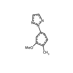 COc1cc(-n2nccn2)ccc1C